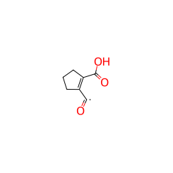 O=[C]C1=C(C(=O)O)CCC1